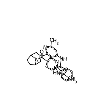 Cc1cc(Nc2cc(C)[nH]n2)nc(N2CC3CCC(C2)N3C(=O)c2ccc(-c3ccncc3)nc2)n1